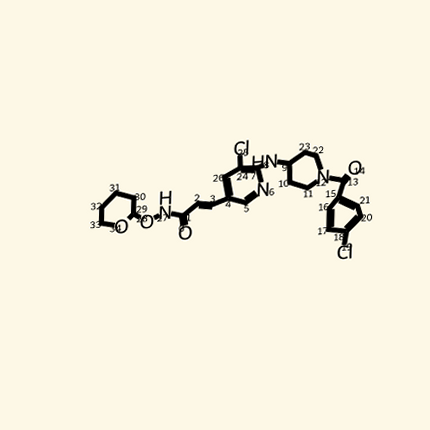 O=C(/C=C/c1cnc(NC2CCN(C(=O)c3ccc(Cl)cc3)CC2)c(Cl)c1)NOC1CCCCO1